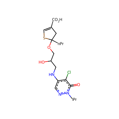 CCCC1(OCC(O)CNc2cnn(C(C)C)c(=O)c2Cl)CC(C(=O)O)=CS1